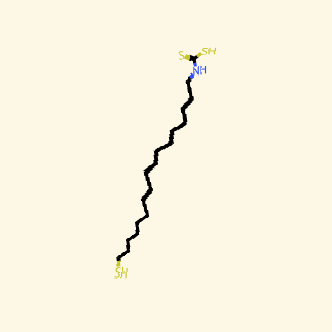 S=C(S)NCCCCCCCCCCCCCCCCCS